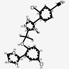 Cn1c(-c2ccc(C#N)cc2Cl)nnc1C(C)(C)Oc1ccc(Cl)cc1-c1nnco1